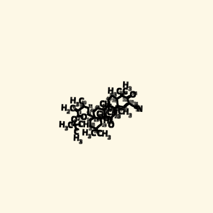 C=C(C(=O)OC(C)(C)C)C(C)CC[C@]12CCC(C)(C)C[C@@]1(C)[C@H]1C(=O)C=C3[C@@]4(C)C=C(C#N)C(=O)C(C)(C)C4CC[C@@]3(C)[C@]1(C)CC2